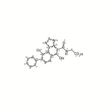 O=C(O)CNC(=O)c1c(O)c2ccc(-c3ccccc3)c(Cl)c2c2ncnn12